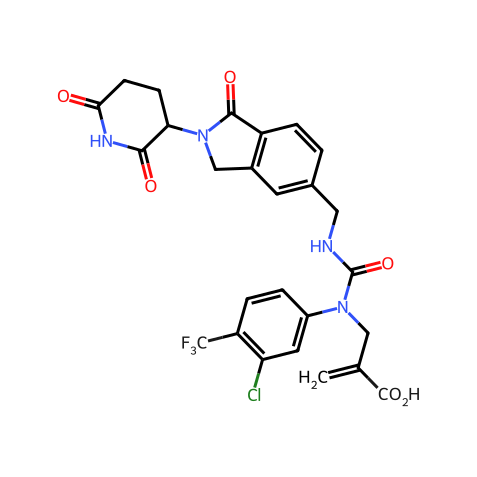 C=C(CN(C(=O)NCc1ccc2c(c1)CN(C1CCC(=O)NC1=O)C2=O)c1ccc(C(F)(F)F)c(Cl)c1)C(=O)O